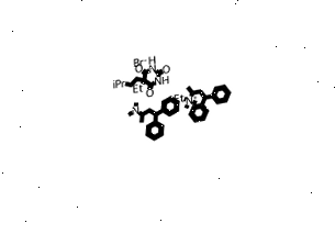 CC(CC(c1ccccc1)c1ccccc1)N(C)C.CCC1(CCC(C)C)C(=O)NC(=O)NC1=O.CC[N+](C)(C)C(C)CC(c1ccccc1)c1ccccc1.[Br-]